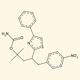 CC(C)(CC(Cc1ccc([N+](=O)[O-])cc1)c1nc(-c2ccccc2)cs1)OC(N)=O